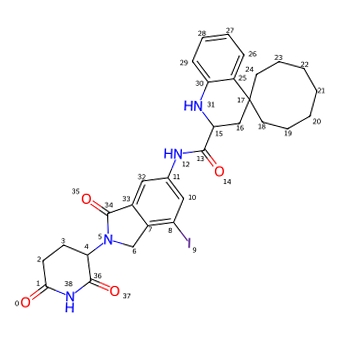 O=C1CCC(N2Cc3c(I)cc(NC(=O)C4CC5(CCCCCCC5)c5ccccc5N4)cc3C2=O)C(=O)N1